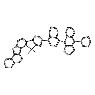 CC1(C)c2cc(-c3ccc(-c4c5ccccc5c(-c5ccccc5)c5ccccc45)c4ccccc34)ccc2-c2ccc3oc4c5ccccc5ccc4c3c21